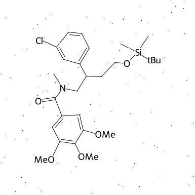 COc1cc(C(=O)N(C)CC(CCO[Si](C)(C)C(C)(C)C)c2cccc(Cl)c2)cc(OC)c1OC